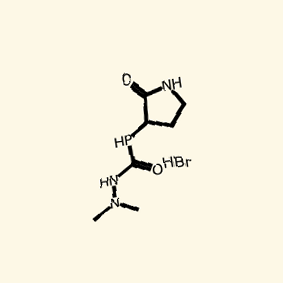 Br.CN(C)NC(=O)PC1CCNC1=O